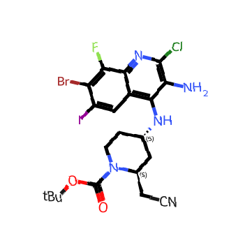 CC(C)(C)OC(=O)N1CC[C@H](Nc2c(N)c(Cl)nc3c(F)c(Br)c(I)cc23)C[C@H]1CC#N